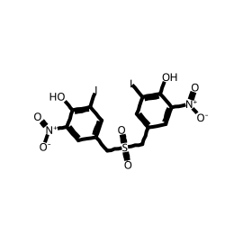 O=[N+]([O-])c1cc(CS(=O)(=O)Cc2cc(I)c(O)c([N+](=O)[O-])c2)cc(I)c1O